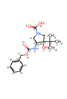 CC(C)(C)[C@@]1(O)CN(C(=O)O)C[C@@H]1NC(=O)OCc1ccccc1